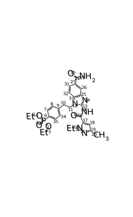 CCOP(=O)(OCC)c1ccc(CCn2c(NC(=O)c3cc(C)nn3CC)nc3cc(C(N)=O)ccc32)cc1